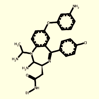 CCNC(=O)C[C@@H]1N=C(c2ccc(Cl)cc2)c2cc(Oc3cccc(N)c3)ccc2N(C(C)N)C1N